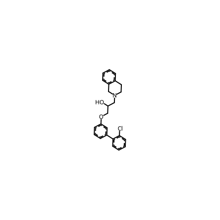 OC(COc1cccc(-c2ccccc2Cl)c1)CN1CCc2ccccc2C1